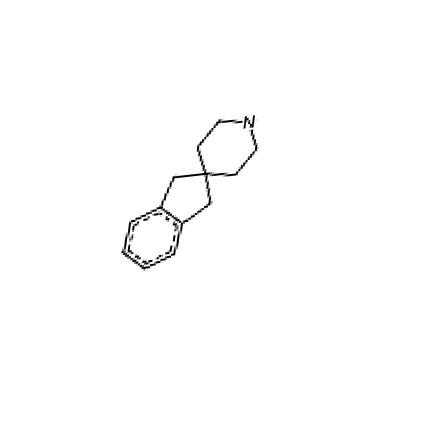 c1ccc2c(c1)CC1(CC[N]CC1)C2